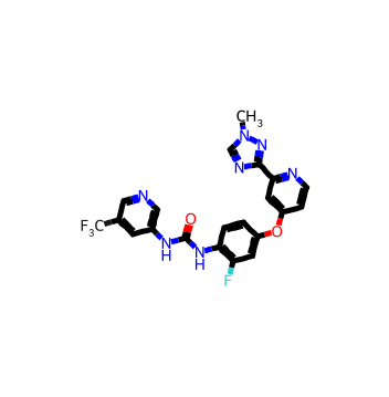 Cn1cnc(-c2cc(Oc3ccc(NC(=O)Nc4cncc(C(F)(F)F)c4)c(F)c3)ccn2)n1